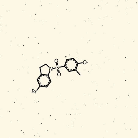 Cc1cc(S(=O)(=O)N2CCc3cc(Br)ccc32)ccc1[O]